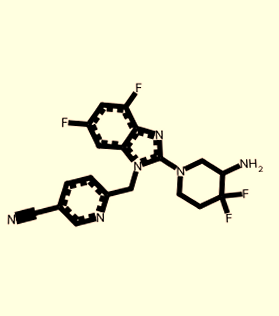 N#Cc1ccc(Cn2c(N3CCC(F)(F)C(N)C3)nc3c(F)cc(F)cc32)nc1